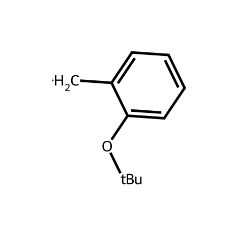 [CH2]c1ccccc1OC(C)(C)C